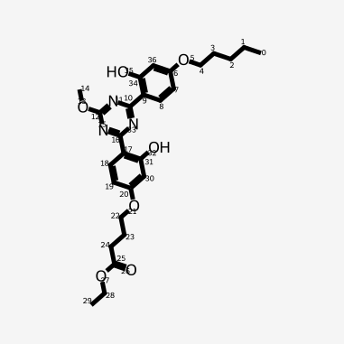 CCCCCOc1ccc(-c2nc(OC)nc(-c3ccc(OCCCC(=O)OCC)cc3O)n2)c(O)c1